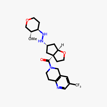 CO[C@@H]1COCC[C@H]1NN[C@@H]1C[C@H]2OCC[C@@]2(C(=O)N2CCc3ncc(C(F)(F)F)cc3C2)C1